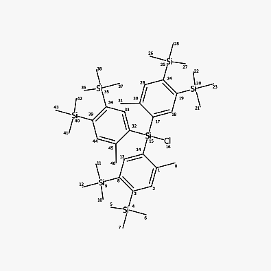 Cc1cc([Si](C)(C)C)c([Si](C)(C)C)cc1[Si](Cl)(c1cc([Si](C)(C)C)c([Si](C)(C)C)cc1C)c1cc([Si](C)(C)C)c([Si](C)(C)C)cc1C